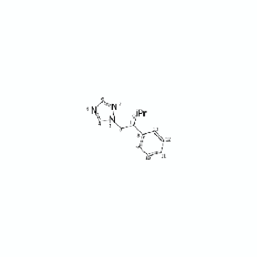 CC(C)C(Cn1cncn1)c1ccccc1